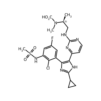 C[C@@H](CNc1nccc(-c2[nH]c(C3CC3)nc2-c2cc(F)cc(NS(C)(=O)=O)c2Cl)n1)N(C)C(=O)O